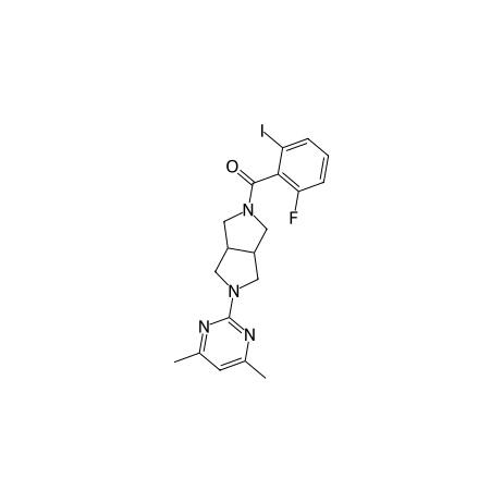 Cc1cc(C)nc(N2CC3CN(C(=O)c4c(F)cccc4I)CC3C2)n1